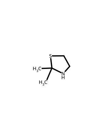 CC1(C)NCCS1